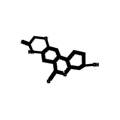 C=C1COc2cc3c(cc2N1)c(=O)oc1cc(O)ccc13